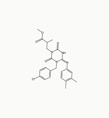 COC(=O)C(C)Cn1c(=O)[nH]c(=Nc2ccc(I)c(C)c2)n(Cc2ccc(Cl)cc2)c1=O